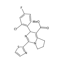 COC(=O)C1=C2CCCN2C(c2nccs2)=NC1c1ccc(F)cc1Cl